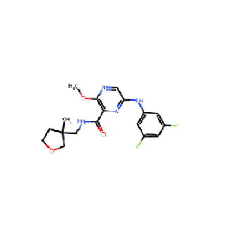 COc1ncc(Nc2cc(F)cc(F)c2)nc1C(=O)NCC1(C)CCOC1